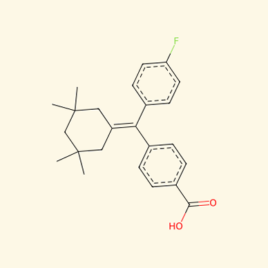 CC1(C)CC(=C(c2ccc(F)cc2)c2ccc(C(=O)O)cc2)CC(C)(C)C1